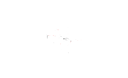 COC[C@H](OC)[C@H](OC)[C@H](OC)[C@H](COC(C)C)OC